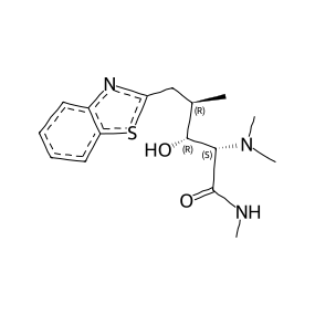 CNC(=O)[C@H]([C@H](O)[C@H](C)Cc1nc2ccccc2s1)N(C)C